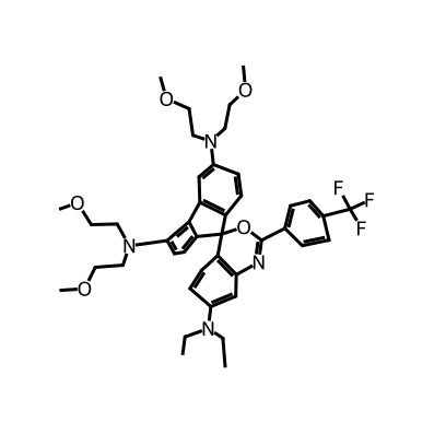 CCN(CC)c1ccc2c(c1)N=C(c1ccc(C(F)(F)F)cc1)OC21c2ccc(N(CCOC)CCOC)cc2-c2cc(N(CCOC)CCOC)ccc21